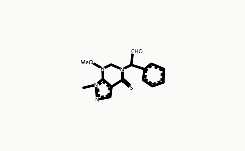 CON1CN(C(C=O)c2ccccc2)C(=S)c2cnn(C)c21